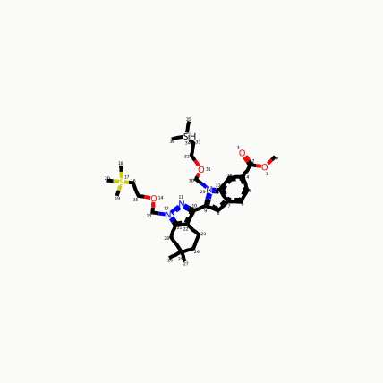 COC(=O)c1ccc2cc(-c3nn(COCCS(C)(C)C)c4c3CCC(C)(C)C4)n(COCC[SiH](C)C)c2c1